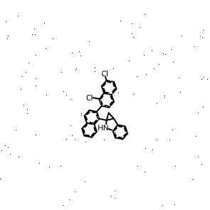 Clc1ccc2ccc(-c3ccc4ccccc4c3C34CC3c3ccccc3N4)c(Cl)c2c1